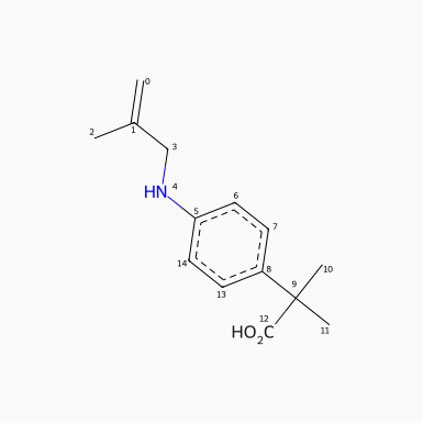 C=C(C)CNc1ccc(C(C)(C)C(=O)O)cc1